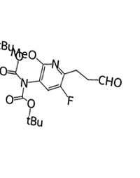 COc1nc(CCC=O)c(F)cc1N(C(=O)OC(C)(C)C)C(=O)OC(C)(C)C